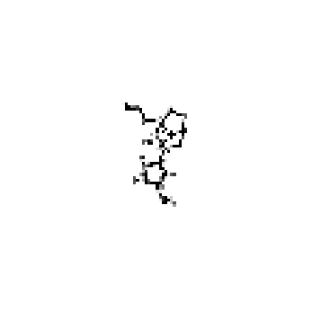 C=CCC12CCC(CC(c3cc(N)[nH]n3)C1)N2C(=O)O